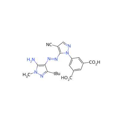 Cn1nc(C(C)(C)C)c(N=Nc2c(C#N)cnn2-c2cc(C(=O)O)cc(C(=O)O)c2)c1N